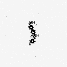 NCc1ccc(N2CCC(NC(=O)Cc3ccc(F)cc3)CC2)cc1